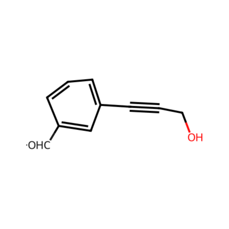 O=[C]c1cccc(C#CCO)c1